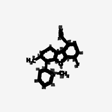 Cc1ccc2c(oc3c(F)ccc(C#N)c32)c1-c1cccc[n+]1C